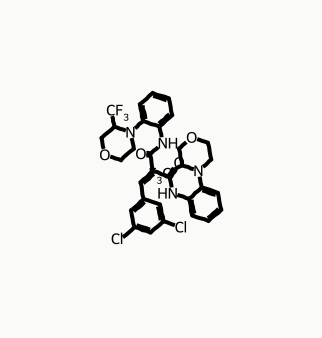 O=C(Nc1ccccc1N1CCOCC1C(F)(F)F)C(=Cc1cc(Cl)cc(Cl)c1)C(=O)Nc1ccccc1N1CCOCC1C(F)(F)F